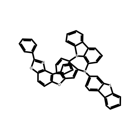 c1ccc(-c2nc3c(ccc4oc5cc(N(c6ccc7c(c6)sc6ccccc67)c6cccc7c8ccccc8n(-c8ccccc8)c67)ccc5c43)o2)cc1